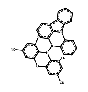 N#Cc1cc(C#N)c2c(c1)Oc1cc(C#N)cc(C#N)c1N2B1c2ccccc2-n2c3ccccc3c3cccc1c32